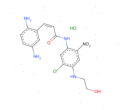 Cl.Nc1ccc(N)c(/C=C\C(=O)Nc2cc(Cl)c(NCCO)cc2[N+](=O)[O-])c1